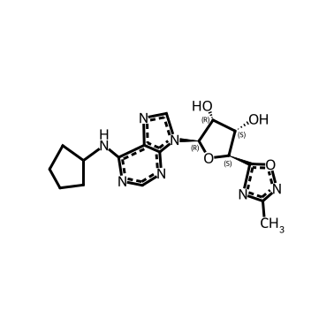 Cc1noc([C@H]2O[C@@H](n3cnc4c(NC5CCCC5)ncnc43)[C@H](O)[C@@H]2O)n1